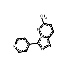 Cc1ccc2nnc(-c3ccncc3)n2n1